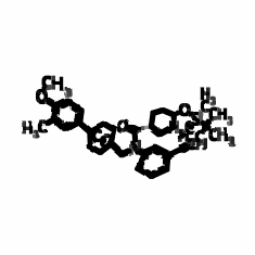 C#Cc1cccc(N(CC23CCC(c4ccc(OC)c(C)c4)(CC2)CC3)C(=O)[C@H]2CC[C@H](O[Si](C)(C)C(C)(C)C)CC2)c1